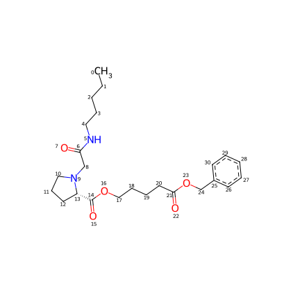 CCCCCNC(=O)CN1CCC[C@H]1C(=O)OCCCCC(=O)OCc1ccccc1